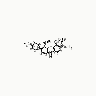 CCCOc1cc(Nc2ccc3c(c2)OCC(=O)N3C)ccc1N1CCC(C(F)(F)F)CC1